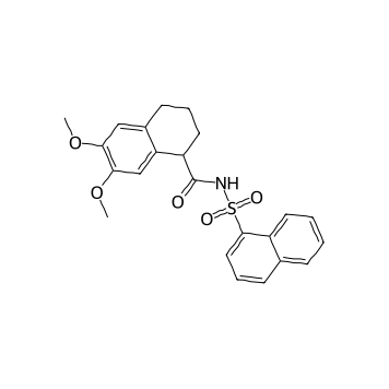 COc1cc2c(cc1OC)C(C(=O)NS(=O)(=O)c1cccc3ccccc13)CCC2